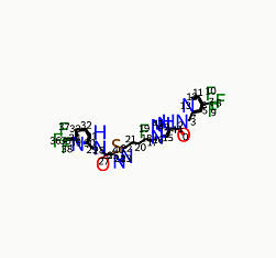 O=C(NCc1cc(C(F)(F)F)ccn1)c1cn(CC(F)CCc2nnc(C(=O)NCc3cccc(C(F)(F)F)n3)s2)nn1